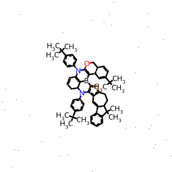 CC(C)(C)C1=CC2C3=C(OCC2C=C1)N(c1ccc(C(C)(C)C)cc1)C1=C2B3c3sc4c(c3N(c3ccc(C(C)(C)C)cc3)C2CC=C1)C=C1c2ccccc2C(C)(C)C1CC4